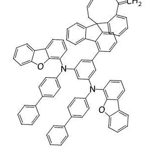 C=C1/C=C\C=C/CC2(c3ccccc31)c1ccccc1-c1c(-c3cc(N(c4ccc(-c5ccccc5)cc4)c4cccc5c4oc4ccccc45)cc(N(c4ccc(-c5ccccc5)cc4)c4cccc5c4oc4ccccc45)c3)cccc12